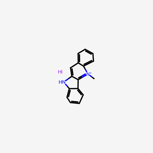 C[n+]1c2ccccc2cc2[nH]c3ccccc3c21.I